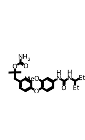 CCC(CC)NC(=O)Nc1ccc(Oc2ccc(CC(C)(C)OC(N)=O)cc2)c(OC)c1